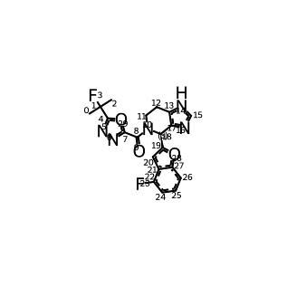 CC(C)(F)c1nnc(C(=O)N2CCc3[nH]cnc3[C@H]2c2cc3c(F)cccc3o2)o1